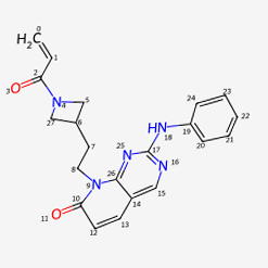 C=CC(=O)N1CC(CCn2c(=O)ccc3cnc(Nc4ccccc4)nc32)C1